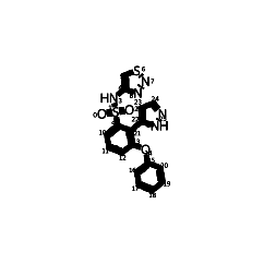 O=S(=O)(Nc1csnn1)c1cccc(Oc2ccccc2)c1-c1ccn[nH]1